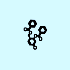 O=C1C=C[C@@H](COC(=O)c2ccccc2)[C@H](OC(=O)c2ccccc2)C1